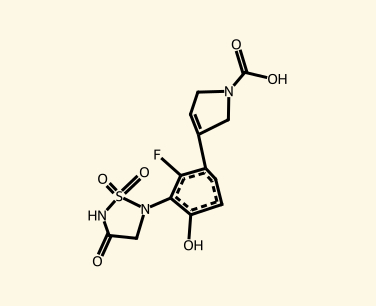 O=C1CN(c2c(O)ccc(C3=CCN(C(=O)O)C3)c2F)S(=O)(=O)N1